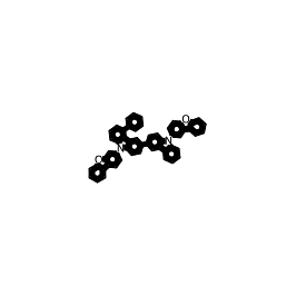 c1ccc(-c2cccc3c2c2cc(-c4ccc5c(c4)c4ccccc4n5-c4ccc5oc6ccccc6c5c4)ccc2n3-c2ccc3c(c2)oc2ccccc23)cc1